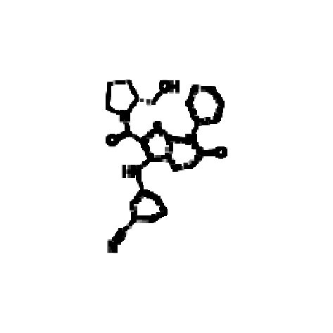 N#Cc1cccc(Nc2c(C(=O)N3CCC[C@@H]3CO)sc3c2ccc(=O)n3-c2ccccc2)c1